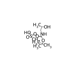 CC(O)CNC(=O)OC(C)(C)C.CS(=O)(=O)O